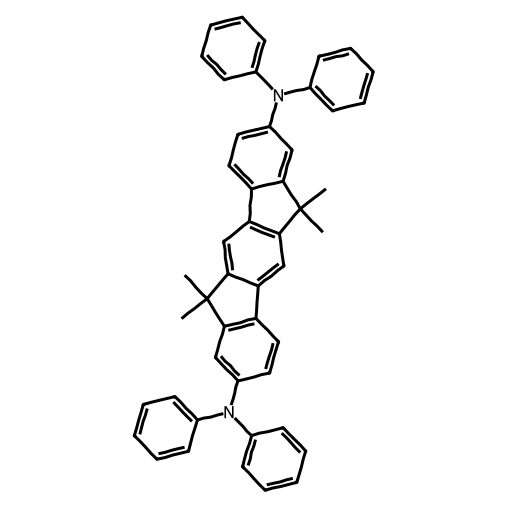 CC1(C)c2cc(N(c3ccccc3)c3ccccc3)ccc2-c2cc3c(cc21)-c1ccc(N(c2ccccc2)c2ccccc2)cc1C3(C)C